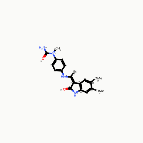 CC/C(Nc1ccc(N(C)C(N)=O)cc1)=C1/C(=O)Nc2cc(OC)c(OC)cc21